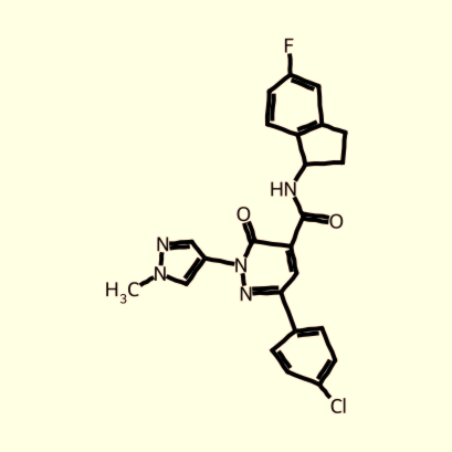 Cn1cc(-n2nc(-c3ccc(Cl)cc3)cc(C(=O)NC3CCc4cc(F)ccc43)c2=O)cn1